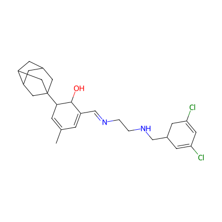 CC1=CC(C23CC4CC(C2)C(C4)C3)C(O)C(/C=N/CCNCC2C=C(Cl)C=C(Cl)C2)=C1